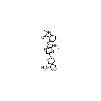 Cn1nc2cccc(Sc3ncc(N4CCC5(CC4)COC[C@H]5N)nc3N)n2c1=O